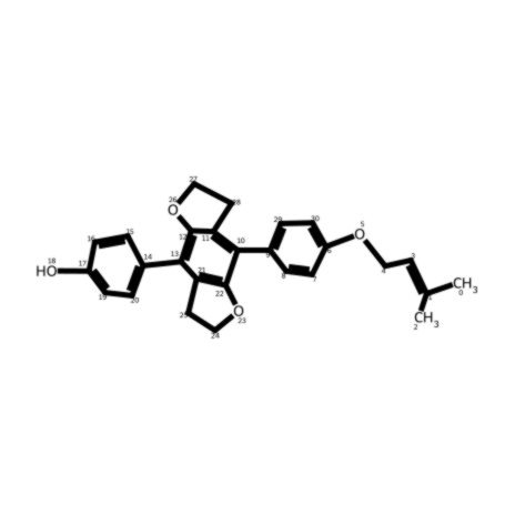 CC(C)=CCOc1ccc(-c2c3c(c(-c4ccc(O)cc4)c4c2OCC4)OCC3)cc1